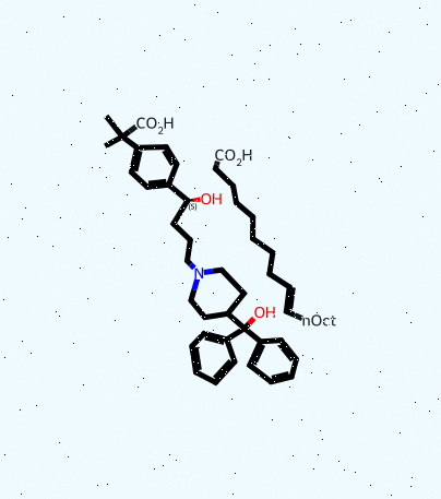 CC(C)(C(=O)O)c1ccc([C@@H](O)CCCN2CCC(C(O)(c3ccccc3)c3ccccc3)CC2)cc1.CCCCCCCCC=CCCCCCCCC(=O)O